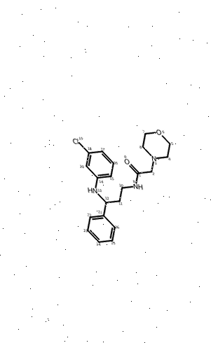 O=C(CN1CCOCC1)NCCC(Nc1cccc(Cl)c1)c1ccccc1